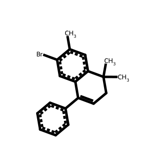 Cc1cc2c(cc1Br)C(c1ccccc1)=CCC2(C)C